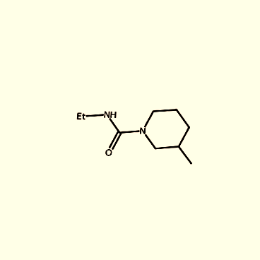 CCNC(=O)N1CCCC(C)C1